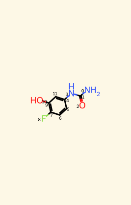 NC(=O)Nc1ccc(F)c(O)c1